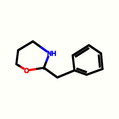 c1ccc(C[C]2NCCCO2)cc1